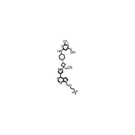 C[Si](C)(C)CCOCn1ccc2c(-c3cnn([C@]4(CC#N)C[C@H](N5CCC(Nc6cc(CO)nc(C(F)(F)F)n6)CC5)C4)c3)ncnc21